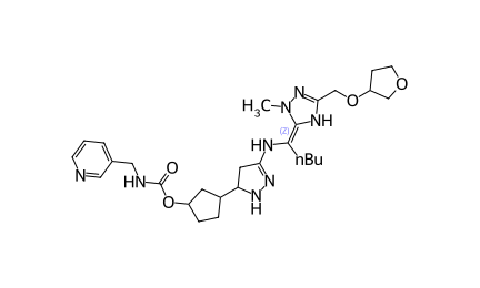 CCCC/C(NC1=NNC(C2CCC(OC(=O)NCc3cccnc3)C2)C1)=C1\NC(COC2CCOC2)=NN1C